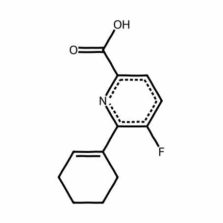 O=C(O)c1ccc(F)c(C2=CCCCC2)n1